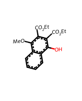 CCOC(=O)c1c(C(=O)OCC)c(OC)c2ccccc2c1O